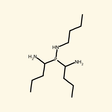 CCCCNP(C(N)CCC)C(N)CCC